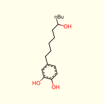 CCCCC(O)CCCCCc1ccc(O)c(O)c1